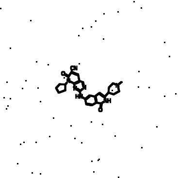 CN1CCC(c2cc3cc(Nc4ncc5cc(C#N)c(=O)n(C6CCCC6)c5n4)ccc3c(=O)[nH]2)CC1